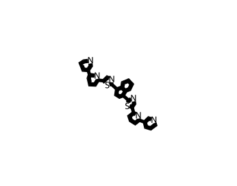 c1cncc(-c2cccc(-c3cnc(-c4ccc(-c5ncc(-c6cccc(-c7cccnc7)n6)s5)c5ccccc45)s3)n2)c1